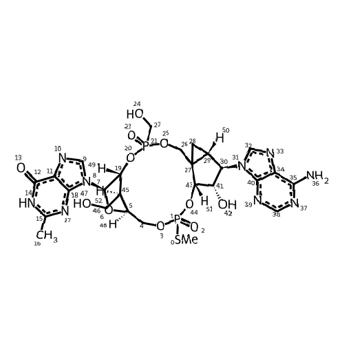 CSP1(=O)OC[C@H]2O[C@@H](n3cnc4c(=O)[nH]c(C)nc43)[C@H](OP(=O)(CO)OCC34C[C@@H]3[C@@H](n3cnc5c(N)ncnc53)[C@H](O)[C@@H]4O1)[C@@H]2CO